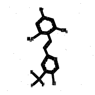 Cc1cc(Br)cc(C)c1/C=C/c1cc(C(F)(F)F)c(Cl)cn1